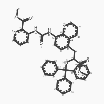 COC(=O)c1ncccc1NC(=O)Nc1ccc(CC(NC(c2ccccc2)(c2ccccc2)c2ccccc2)C(=O)OC)c2cccnc12